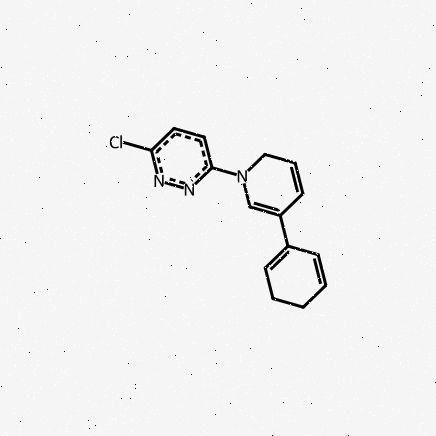 Clc1ccc(N2C=C(C3=CCCC=C3)C=CC2)nn1